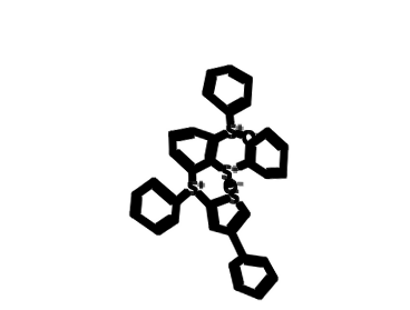 [O-][S+](c1ccccc1)c1cccc([S+](c2ccccc2)c2cc(-c3ccccc3)cs2)c1[S+]([O-])c1ccccc1